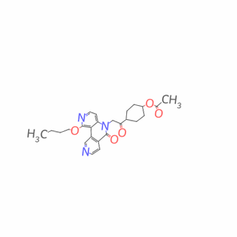 CCCCOc1nccc2c1c1cnccc1c(=O)n2CC(=O)C1CCC(OC(C)=O)CC1